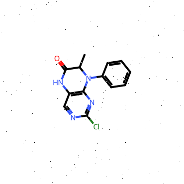 CC1C(=O)Nc2cnc(Cl)nc2N1c1ccccc1